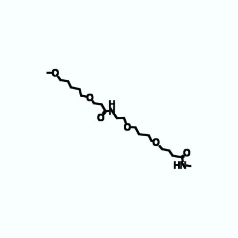 CNC(=O)CCCOCCCCOCCNC(=O)CCOCCCCCOC